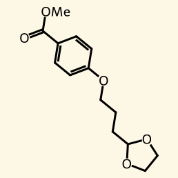 COC(=O)c1ccc(OCCCC2OCCO2)cc1